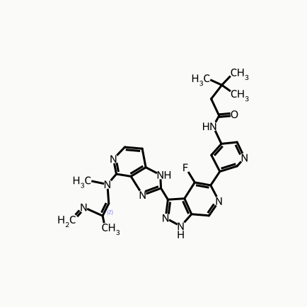 C=N/C(C)=C\N(C)c1nccc2[nH]c(-c3n[nH]c4cnc(-c5cncc(NC(=O)CC(C)(C)C)c5)c(F)c34)nc12